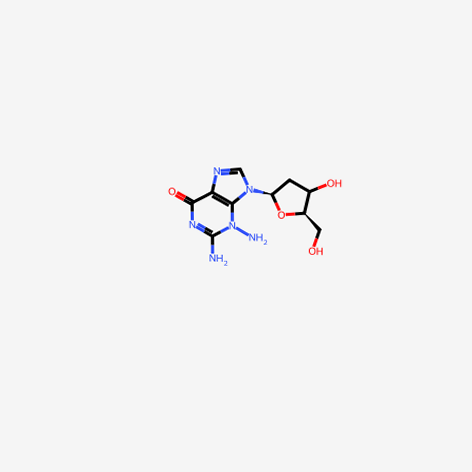 Nc1nc(=O)c2ncn([C@H]3CC(O)[C@@H](CO)O3)c2n1N